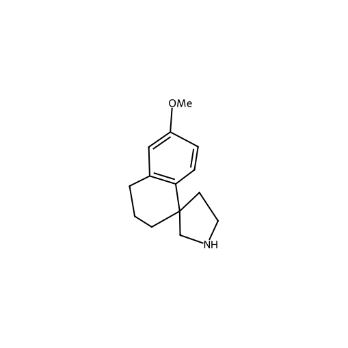 COc1ccc2c(c1)CCCC21CCNC1